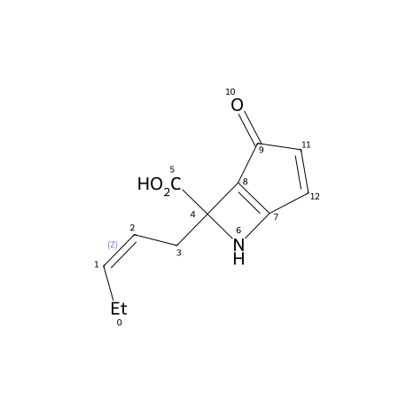 CC/C=C\CC1(C(=O)O)NC2=C1C(=O)C=C2